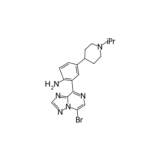 CC(C)N1CCC(c2ccc(N)c(-c3ncc(Br)n4ncnc34)c2)CC1